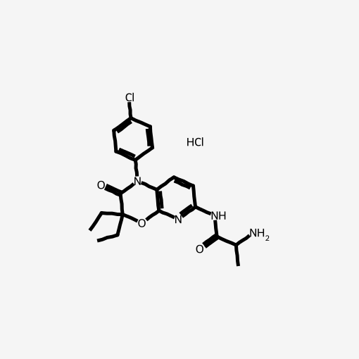 CCC1(CC)Oc2nc(NC(=O)C(C)N)ccc2N(c2ccc(Cl)cc2)C1=O.Cl